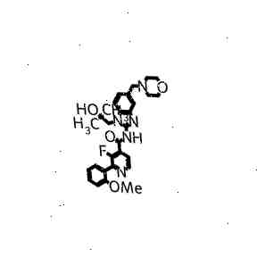 COc1ccccc1-c1nccc(C(=O)Nc2nc3cc(CN4CCOCC4)ccc3n2CC(C)(C)O)c1F